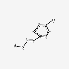 CCc1ccc(/C=N/OC(C)C)cc1